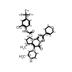 C[C@@H]1CN(c2c3n(c4nc(C5=CCOCC5)nn4c2=O)[C@@H](C(=O)Nc2ccc(C(F)(F)F)cc2Cl)C[C@H]3C)CCN1